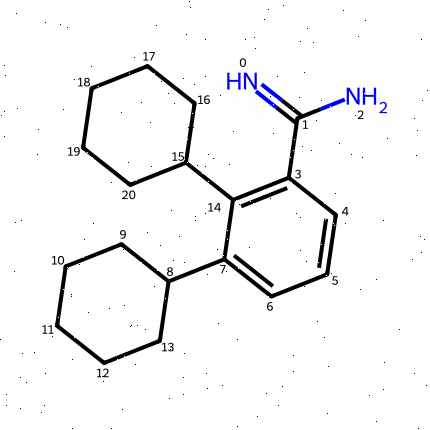 N=C(N)c1cccc(C2CCCCC2)c1C1CCCCC1